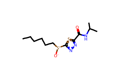 CCCCCC[S+]([O-])c1nnc(C(=O)NC(C)C)s1